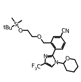 CC(C)(C)[Si](C)(C)OCCOCc1cc(C#N)ccc1-c1nc(C(F)(F)F)cn1C1CCCCO1